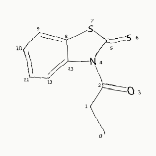 CCC(=O)n1c(=S)sc2ccccc21